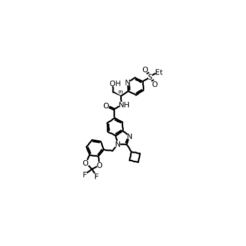 CCS(=O)(=O)c1ccc([C@H](CO)NC(=O)c2ccc3c(c2)nc(C2CCC2)n3Cc2cccc3c2OC(F)(F)O3)nc1